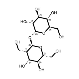 OC[C@@H]1[C@@H](O[C@H]2O[C@H](CO)[C@@H](O)[C@H](O)[C@H]2O)O[C@H](CO)[C@@H](O)[C@@H]1O